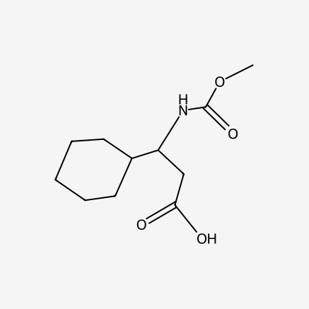 COC(=O)NC(CC(=O)O)C1CCCCC1